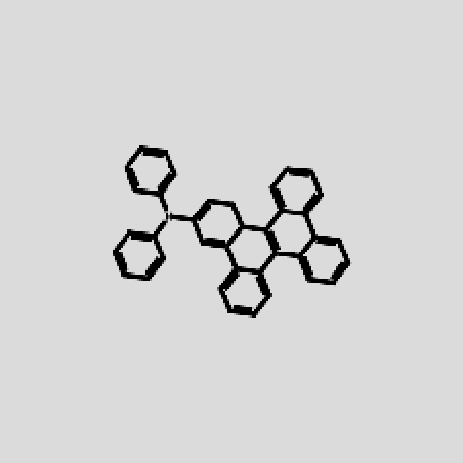 C1=C2c3ccccc3-c3c(c4ccccc4c4ccccc34)C2CC=C1N(c1ccccc1)c1ccccc1